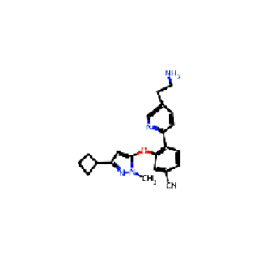 Cn1nc(C2CCC2)cc1Oc1cc(C#N)ccc1-c1ccc(CCN)cn1